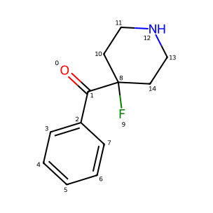 O=C(c1ccccc1)C1(F)CCNCC1